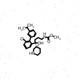 COC(=O)NCCCC(O)(c1cccc(Cl)c1-c1cccc(C(C)C)c1)[C@@H]1CCCNC1